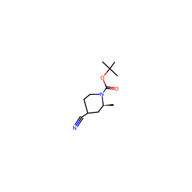 C[C@H]1CC(C#N)CCN1C(=O)OC(C)(C)C